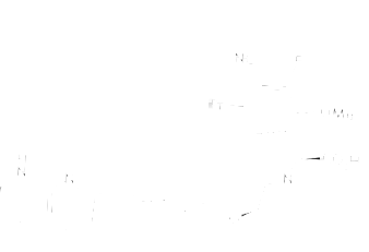 COc1c([C@@H](C(=O)O)N2CC[C@@H](OCCCCCc3ccc4c(n3)NCCC4)C2)cc(C(C)C)c(C#N)c1F